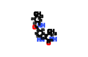 Cc1ccc(NC(=O)c2ccc3[nH]c4c(c3c2)C(C)CNC4=O)cc1